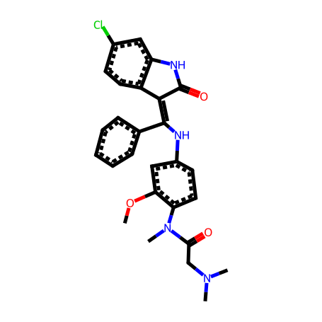 COc1cc(N/C(=C2\C(=O)Nc3cc(Cl)ccc32)c2ccccc2)ccc1N(C)C(=O)CN(C)C